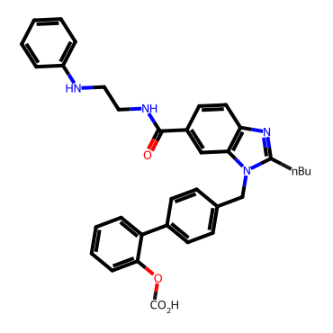 CCCCc1nc2ccc(C(=O)NCCNc3ccccc3)cc2n1Cc1ccc(-c2ccccc2OC(=O)O)cc1